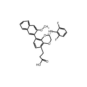 COc1cc2ccccc2cc1-c1ccc(CCC(=O)O)c2c1O[C@H](Nc1c(F)cccc1F)CO2